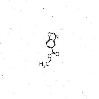 CCOC(=O)c1ccc2o[c]nc2c1